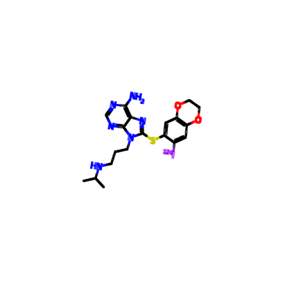 CC(C)NCCCn1c(Sc2cc3c(cc2[124I])OCCO3)nc2c(N)ncnc21